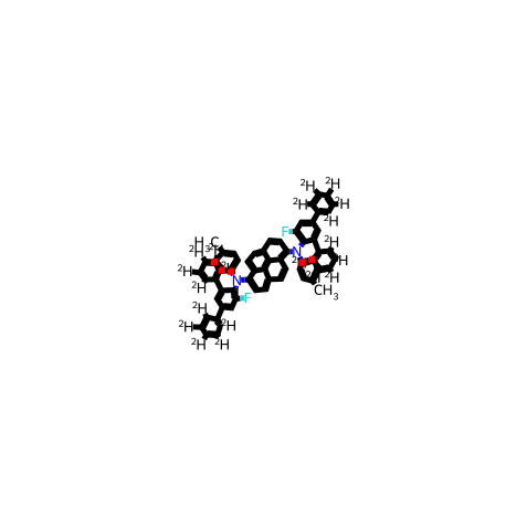 [2H]c1c([2H])c([2H])c(-c2cc(F)c(N(c3ccc(C)cc3)c3ccc4ccc5c(N(c6ccc(C)cc6)c6c(F)cc(-c7c([2H])c([2H])c([2H])c([2H])c7[2H])cc6-c6c([2H])c([2H])c([2H])c([2H])c6[2H])ccc6ccc3c4c65)c(-c3c([2H])c([2H])c([2H])c([2H])c3[2H])c2)c([2H])c1[2H]